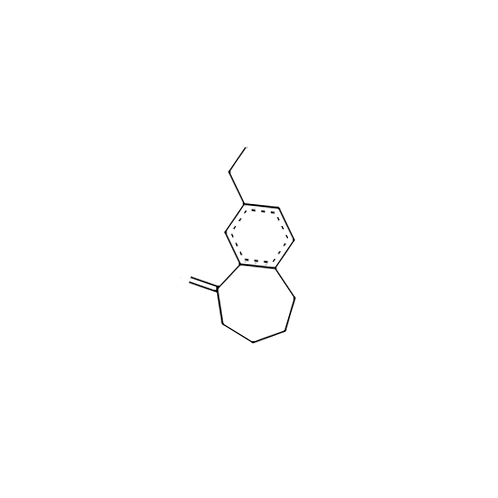 C=C1CCCCc2ccc(CI)cc21